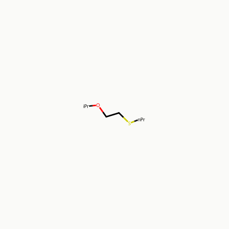 CCCSCCOC(C)C